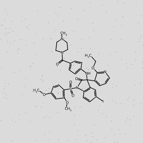 CCOc1ncccc1C1(Nc2ccc(C(=O)N3CCN(C)CC3)cc2)C(=O)N(S(=O)(=O)c2ccc(OC)cc2OC)c2ccc(I)cc21